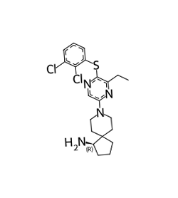 CCc1nc(N2CCC3(CCC[C@H]3N)CC2)cnc1Sc1cccc(Cl)c1Cl